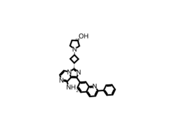 Nc1nccn2c1c(-c1ccc3ccc(-c4ccccc4)nc3c1)nc2[C@H]1C[C@@H](N2CC[C@H](O)C2)C1